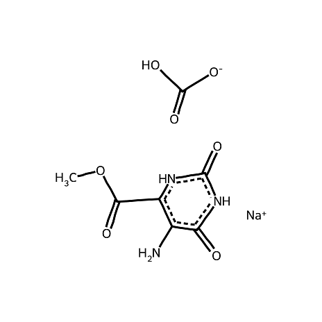 COC(=O)c1[nH]c(=O)[nH]c(=O)c1N.O=C([O-])O.[Na+]